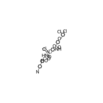 N#Cc1ccc(-c2ccc(CC(NC(=O)[C@@H]3Cc4cc5c(cc4CN3Cc3cccs3)O[C@@H](c3ccc(OCc4ccc(Cl)c(Cl)c4)cc3)C(=O)N5)C(=O)O)cc2)cc1